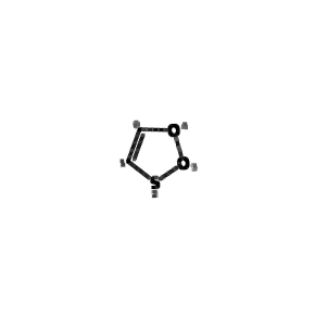 C1=CSOO1